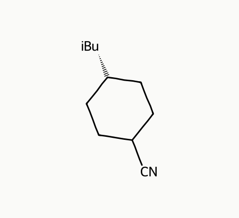 CC[C@@H](C)C1CCC(C#N)CC1